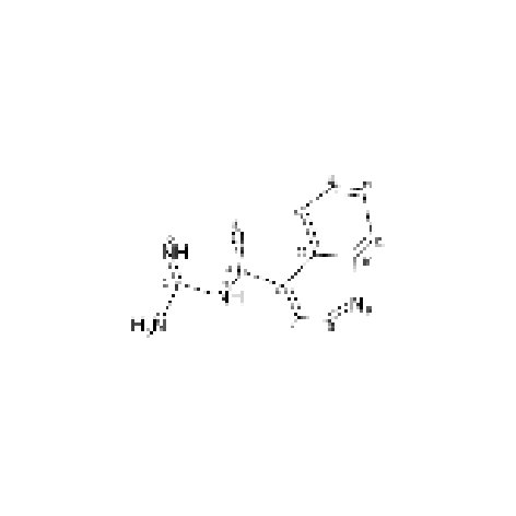 N=C(N)NC(=O)c1ccnc2ccccc12